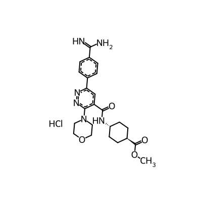 COC(=O)[C@H]1CC[C@H](NC(=O)c2cc(-c3ccc(C(=N)N)cc3)nnc2N2CCOCC2)CC1.Cl